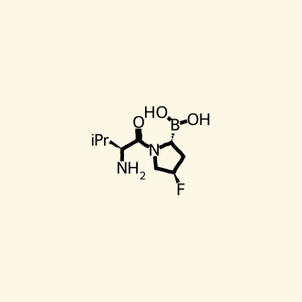 CC(C)[C@H](N)C(=O)N1C[C@H](F)C[C@H]1B(O)O